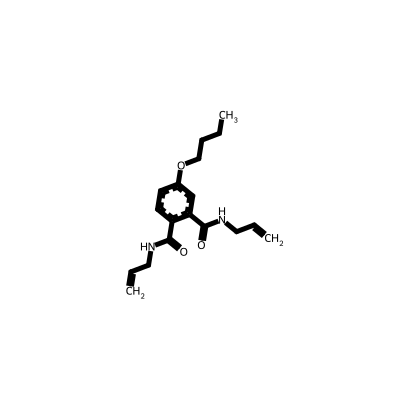 C=CCNC(=O)c1ccc(OCCCC)cc1C(=O)NCC=C